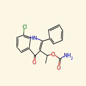 CC(OC(N)=O)c1c(-c2ccccc2)[nH]c2c(Cl)cccc2c1=O